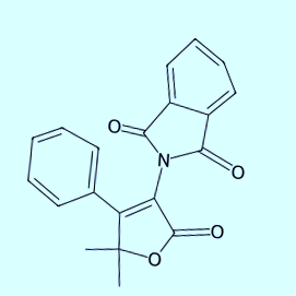 CC1(C)OC(=O)C(N2C(=O)c3ccccc3C2=O)=C1c1ccccc1